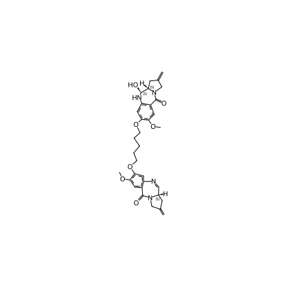 C=C1C[C@H]2C=Nc3cc(OCCCCCOc4cc5c(cc4OC)C(=O)N4CC(=C)C[C@H]4[C@H](O)N5)c(OC)cc3C(=O)N2C1